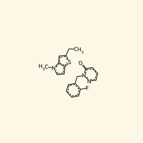 CCc1cc2c(ccn2C)s1.O=c1cccnn1Cc1ccccc1F